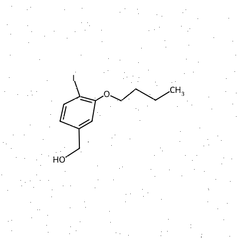 CCCCOc1cc(CO)ccc1I